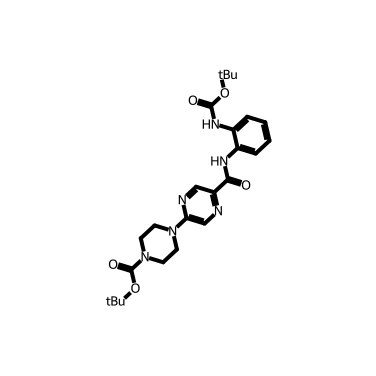 CC(C)(C)OC(=O)Nc1ccccc1NC(=O)c1cnc(N2CCN(C(=O)OC(C)(C)C)CC2)cn1